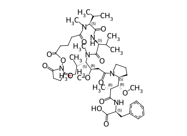 CCC(C)[C@@H]([C@@H](CC(=O)N1CCC[C@H]1[C@H](OC)[C@@H](C)C(=O)N[C@@H](Cc1ccccc1)C(=O)O)OC)N(C)C(=O)[C@@H](NC(=O)[C@H](C(C)C)N(C)C(=O)CCCC(=O)ON1C(=O)CCC1=O)C(C)C